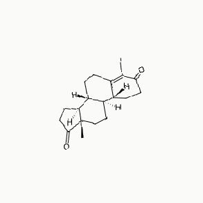 CC1=C2CC[C@@H]3[C@H](CC[C@]4(C)C(=O)CC[C@@H]34)[C@H]2CCC1=O